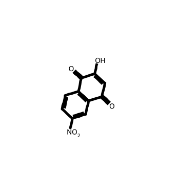 O=C1C=C(O)C(=O)c2ccc([N+](=O)[O-])cc21